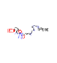 CCCCC/C=C\C/C=C\C/C=C\C/C=C\CCCC(=O)CNC(=O)/C=C\c1ccccc1O